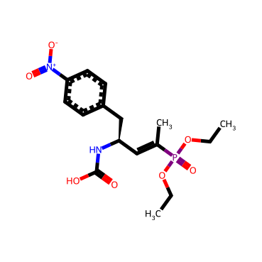 CCOP(=O)(OCC)/C(C)=C/[C@H](Cc1ccc([N+](=O)[O-])cc1)NC(=O)O